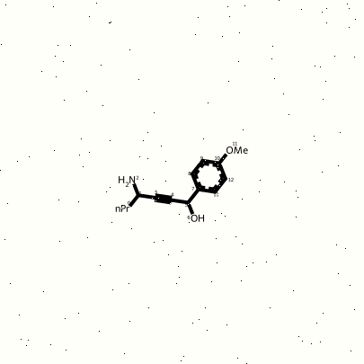 CCCC(N)C#CC(O)c1ccc(OC)cc1